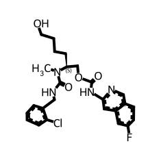 CN(C(=O)NCc1ccccc1Cl)[C@@H](CCCCO)COC(=O)Nc1cc2cc(F)ccc2cn1